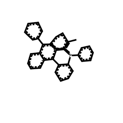 C/C=C(\C)c1cc(-c2ccccc2)c2ccccc2c1-c1ccccc1P(c1ccccc1)c1ccccc1